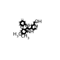 CC1(C)CC(=O)c2c([nH]c(-c3ccnc(CO)c3)c2Nc2ccccc2)C1